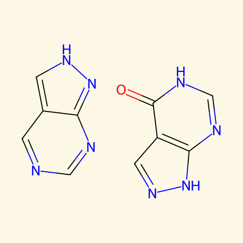 O=c1[nH]cnc2[nH]ncc12.c1ncc2c[nH]nc2n1